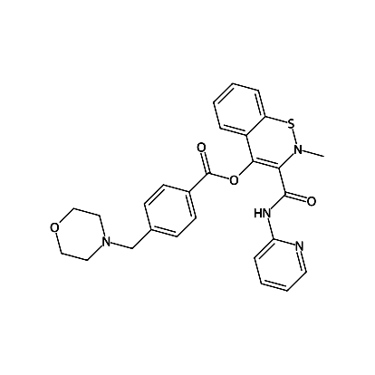 CN1Sc2ccccc2C(OC(=O)c2ccc(CN3CCOCC3)cc2)=C1C(=O)Nc1ccccn1